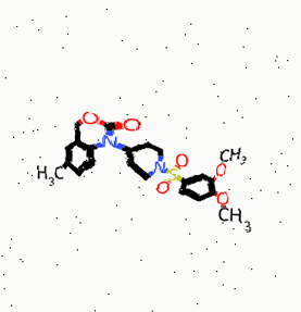 COc1ccc(S(=O)(=O)N2CCC(N3C(=O)OCc4cc(C)ccc43)CC2)cc1OC